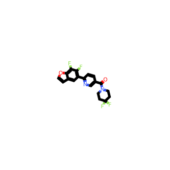 O=C(c1ccc(-c2cc3ccoc3c(F)c2F)nc1)N1CCC(F)(F)CC1